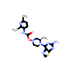 Cc1ccc(NC(=O)ON2CCN(c3nc(N)nc4scnc34)[C@@H](C)C2)c(C)n1